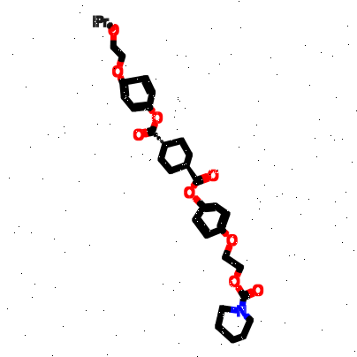 CC(C)OCCOc1ccc(OC(=O)[C@H]2CC[C@H](C(=O)Oc3ccc(OCCOC(=O)N4CCCCC4)cc3)CC2)cc1